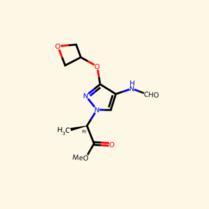 COC(=O)[C@@H](C)n1cc(NC=O)c(OC2COC2)n1